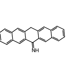 N=C1c2cc3ccccc3cc2Cc2cc3ccccc3cc21